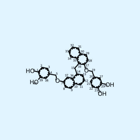 Oc1ccc(COc2ccc3cccc(Cc4c(OCc5ccc(O)c(O)c5)ccc5ccccc45)c3c2)cc1O